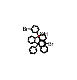 OC(c1cccc(Br)c1)(c1cccc(Br)c1)c1ccccc1C1(c2ccccc2)c2ccccc2-c2ccccc21